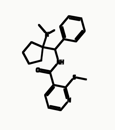 CSc1ncccc1C(=O)NC(c1ccccc1)C1(N(C)C)CCCC1